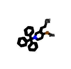 CC(=O)SC1CCN(C(c2ccccc2)(c2ccccc2)c2ccccc2)C/C1=C/CC#N